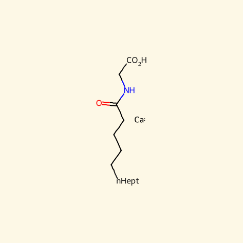 CCCCCCCCCCCC(=O)NCC(=O)O.[Ca]